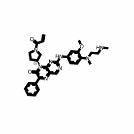 C=CC(=O)N1CC[C@H](n2c(=O)c(-c3ccccc3)nc3cnc(Nc4ccc(N(C)CCNC)c(OC)c4)nc32)C1